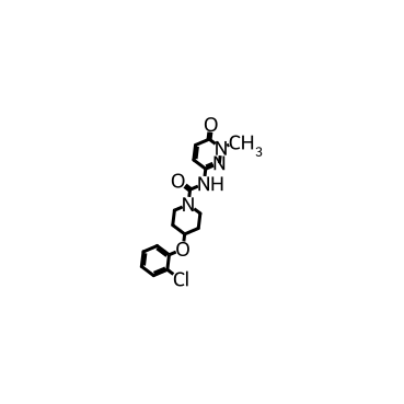 Cn1nc(NC(=O)N2CCC(Oc3ccccc3Cl)CC2)ccc1=O